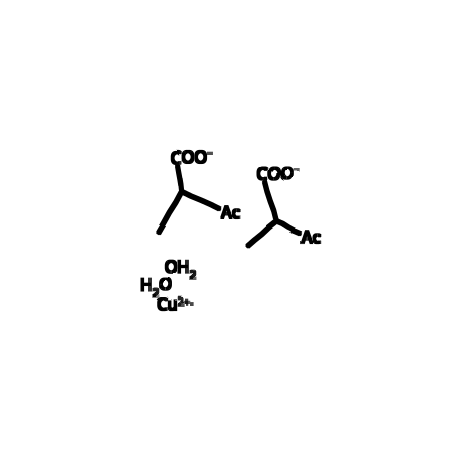 CC(=O)C(C)C(=O)[O-].CC(=O)C(C)C(=O)[O-].O.O.[Cu+2]